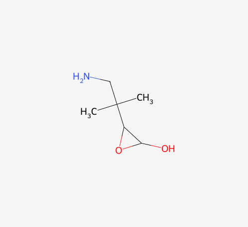 CC(C)(CN)C1OC1O